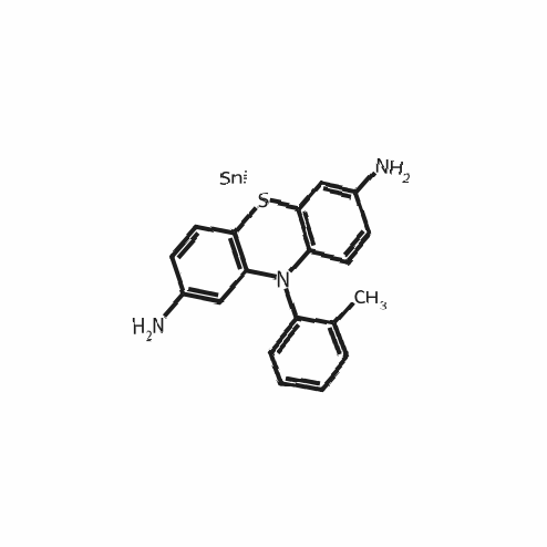 Cc1ccccc1N1c2ccc(N)cc2Sc2ccc(N)cc21.[Sn]